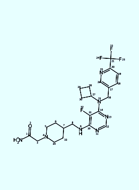 NC(=O)CN1CCC(CNc2ncnc(N(Cc3ccc(C(F)(F)F)nc3)C3CCC3)c2F)CC1